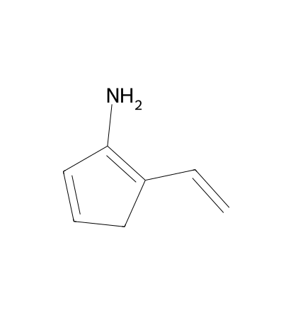 C=CC1=C(N)C=CC1